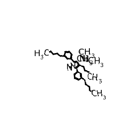 CCCCCc1cccc(C2=C(C)C(CCCC)=C(c3cccc(CCCCC)c3)[N+]2=[N-])c1.C[CH2][Ni][CH2]C